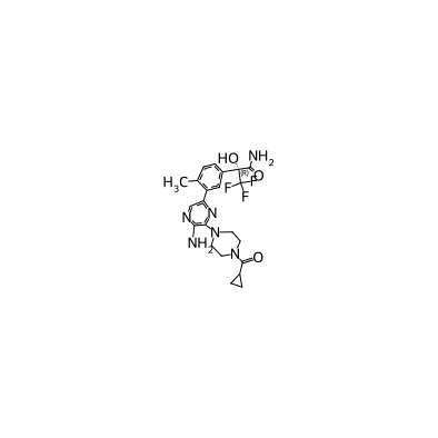 Cc1ccc([C@@](O)(C(N)=O)C(F)(F)F)cc1-c1cnc(N)c(N2CCN(C(=O)C3CC3)CC2)n1